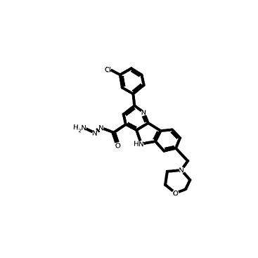 NN=NC(=O)c1cc(-c2cccc(Cl)c2)nc2c1[nH]c1cc(CN3CCOCC3)ccc12